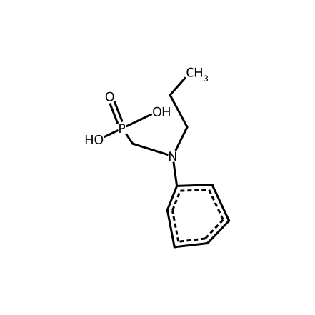 CCCN(CP(=O)(O)O)c1ccccc1